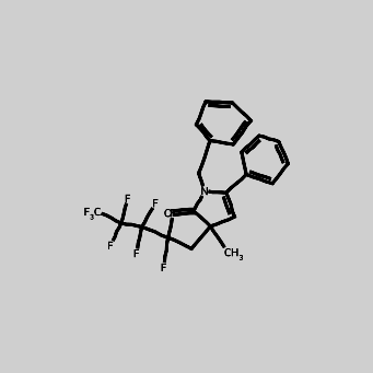 CC1(CC(F)(F)C(F)(F)C(F)(F)C(F)(F)F)C=C(c2ccccc2)N(Cc2ccccc2)C1=O